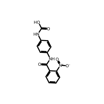 O=C(O)Nc1ccc(NC(=O)c2ccccc2[N+](=O)[O-])cc1